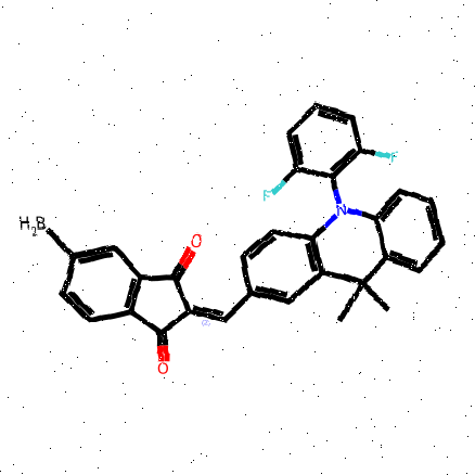 Bc1ccc2c(c1)C(=O)/C(=C\c1ccc3c(c1)C(C)(C)c1ccccc1N3c1c(F)cccc1F)C2=O